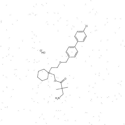 CC(C)(CN)C(=O)OC[N+]1(CCOCc2ccc(-c3ccc(Cl)cc3)cc2)CCCCC1.Cl.[Cl-]